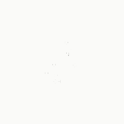 CC(COC(=O)OO)N1C(=O)C=CC1=O